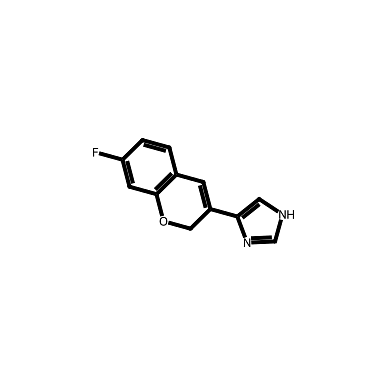 Fc1ccc2c(c1)OCC(c1c[nH]cn1)=C2